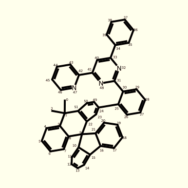 CC1(C)c2ccccc2C2(c3ccccc3-c3ccccc32)c2cc(-c3ccccc3-c3nc(-c4ccccc4)cc(-c4ccccn4)n3)ccc21